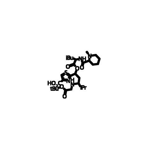 CCC(C)C(NC(=O)C1CCCCN1C)C(=O)OC(CC(NCC(=O)OC(C)(C)C)C(C)C)c1nc(C(=O)O)cs1